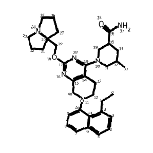 CCc1cccc2cccc(N3CCc4c(nc(OCC56CCCN5CCC6)nc4N4CC(C)CC(C(N)=O)C4)C3)c12